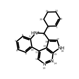 C1=CC(C2Nc3ccccc3-c3cnnc4[nH]cc2c34)CCC1